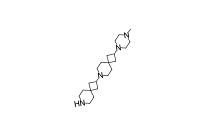 CN1CCN(C2CC3(CCN(C4CC5(CCNCC5)C4)CC3)C2)CC1